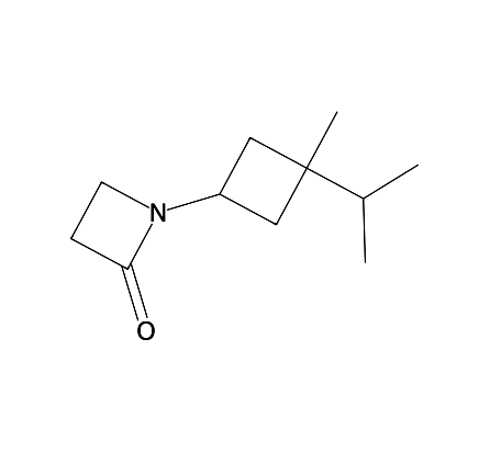 CC(C)C1(C)CC(N2CCC2=O)C1